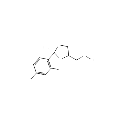 CC(C)(C)OCC1CO[C@](C)(c2ccc(Cl)cc2Cl)O1